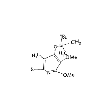 COc1nc(Br)c(C)c(O[Si](C)(C)C(C)(C)C)c1OC